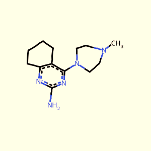 CN1CCN(c2nc(N)nc3c2CCCC3)CC1